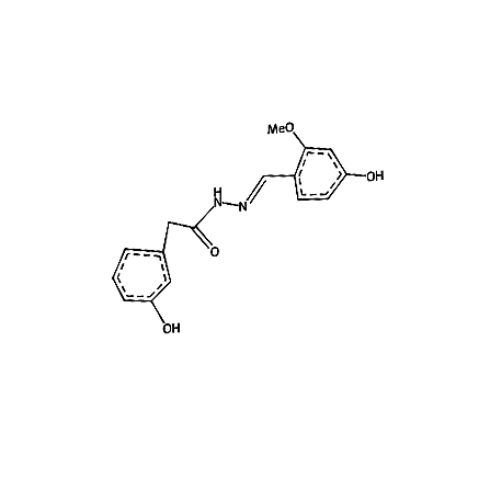 COc1cc(O)ccc1C=NNC(=O)Cc1cccc(O)c1